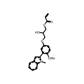 C=CC(=O)OCC(O)COc1ccc(OC)c(-c2cc3ccccc3n2C)c1